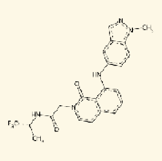 C[C@@H](NC(=O)Cn1ccc2cccc(Nc3ccc4c(cnn4C)c3)c2c1=O)C(F)(F)F